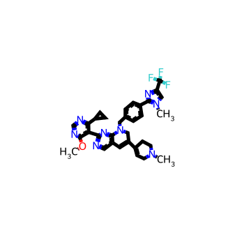 COc1ncnc(C2CC2)c1-c1ncc2c(n1)N(Cc1ccc(-c3nc(C(F)(F)F)cn3C)cc1)CC(C1=CCN(C)CC1)=C2